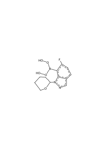 OOB(OO)c1c(F)ccc2cnn(C3CCCCO3)c12